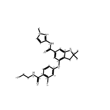 Cn1ccc(NC(=O)c2cc(Oc3ccc(C(=O)NCCF)c(F)c3)c3c(c2)OC(C)(C)C3)n1